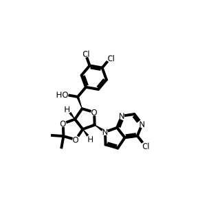 CC1(C)O[C@@H]2[C@H](O1)[C@@H](C(O)c1ccc(Cl)c(Cl)c1)O[C@H]2n1ccc2c(Cl)ncnc21